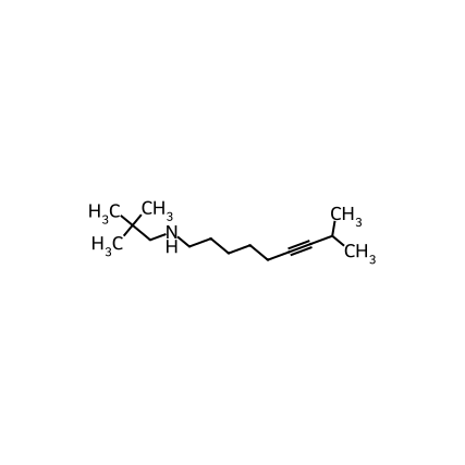 CC(C)C#CCCCCCNCC(C)(C)C